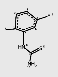 Cc1ccc(F)cc1NC(N)=S